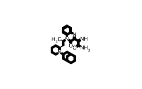 C[C@@H](C[C@@H]1CCCCN1C1CC2CCCC(C2)C1)n1c(=O)c(C(=N)C(N)=O)nc2ccccc21